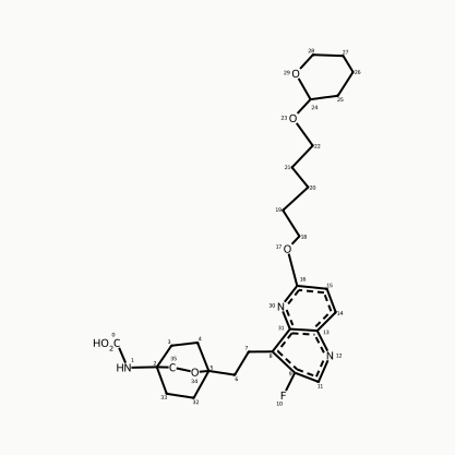 O=C(O)NC12CCC(CCc3c(F)cnc4ccc(OCCCCCOC5CCCCO5)nc34)(CC1)OC2